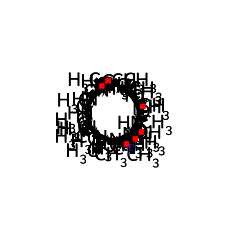 C/C=C/C[C@@H](C)[C@@H](O)[C@H]1C(=O)N[C@@H](CC)C(=O)N(C)C(CO)C(=O)N(C)[C@@H](C(C)CC)C(=O)N[C@H](C(C)C)C(=O)N(C)[C@H](CC(C)C)C(=O)N[C@H](C)C(=O)N[C@@H](C)C(=O)N(C)[C@@H](CC(C)C)C(=O)N(C)[C@@H](CCC(C)C)C(=O)N(C)[C@@H](C(C)C)C(=O)N1C